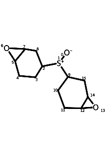 [O-][S+](C1CCC2OC2C1)C1CCC2OC2C1